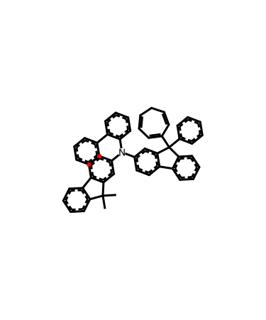 CC1(C)c2ccccc2-c2ccc(N(c3ccc4c(c3)C(C3=CC=CCC=C3)(c3ccccc3)c3ccccc3-4)c3ccccc3-c3ccccc3)cc21